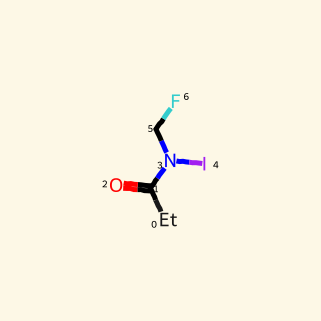 CCC(=O)N(I)CF